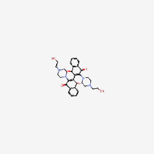 O=C1C(C2=C(N3CCN(CCO)CC3)C(=O)c3ccccc3C2=O)=C(N2CCN(CCO)CC2)C(=O)c2ccccc21